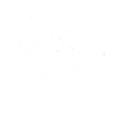 Cc1cc(C)cc(-c2nc(-n3c4ccccc4c4c5ccccc5c5c6ccccc6oc5c43)nc3c2oc2ccc4ccccc4c23)c1